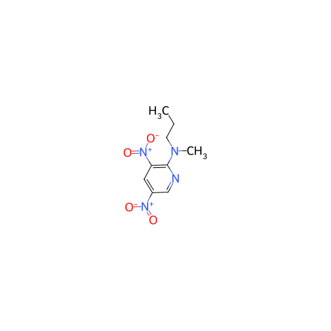 CCCN(C)c1ncc([N+](=O)[O-])cc1[N+](=O)[O-]